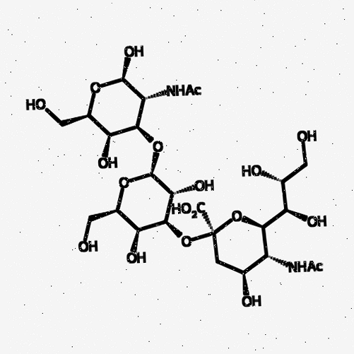 CC(=O)N[C@@H]1[C@@H](O[C@@H]2O[C@H](CO)[C@H](O)[C@H](O[C@]3(C(=O)O)C[C@H](O)[C@@H](NC(C)=O)[C@H]([C@H](O)[C@H](O)CO)O3)[C@H]2O)[C@@H](O)[C@@H](CO)O[C@H]1O